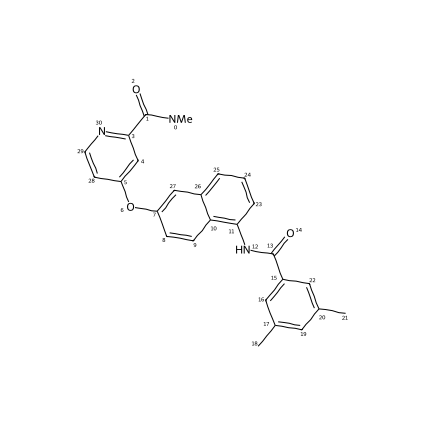 CNC(=O)c1cc(Oc2ccc3c(NC(=O)c4cc(C)cc(C)c4)cccc3c2)ccn1